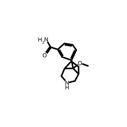 COC1(c2cccc(C(N)=O)c2)C2CCC1CNC2